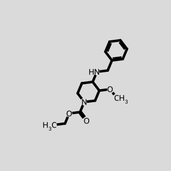 CCOC(=O)N1CCC(NCc2ccccc2)C(OC)C1